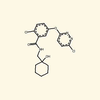 O=C(NCC1(O)CCCCC1)c1cc(Oc2ccc(Cl)nn2)ccc1Cl